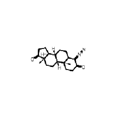 C[C@]12CCC(=O)C(=[N+]=[N-])C1CC[C@@H]1[C@H]2CC[C@]2(C)C(=O)CC[C@@H]12